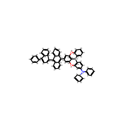 C1=CC[C@@H](N(c2ccccc2)c2ccc3c(c2)Oc2cc(-c4c5ccccc5c(-c5ccc(-c6ccccc6)c6ccccc56)c5ccccc45)cc4c2B3c2ccccc2O4)C=C1